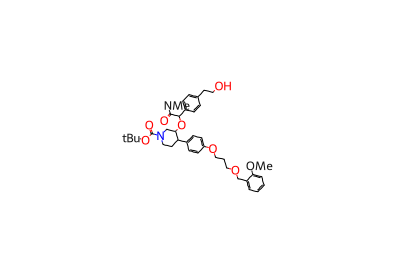 CNC(=O)C(OC1CN(C(=O)OC(C)(C)C)CCC1c1ccc(OCCCOCc2ccccc2OC)cc1)c1ccc(CCO)cc1